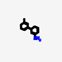 CC1=CC(C2C=C(N)C=CC2)=CCC1